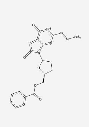 NN=Nc1nc2c(sc(=O)n2C2CC[C@@H](COC(=O)c3ccccc3)O2)c(=O)[nH]1